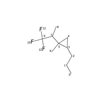 CCCC1CC1(C)C(C)C(F)(F)F